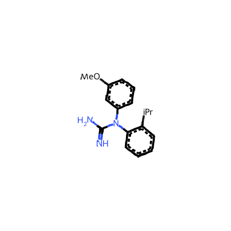 COc1cccc(N(C(=N)N)c2ccccc2C(C)C)c1